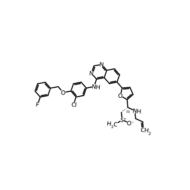 C=CCN[C@H](C[S+](C)[O-])c1ccc(-c2ccc3ncnc(Nc4ccc(OCc5cccc(F)c5)c(Cl)c4)c3c2)o1